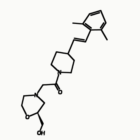 Cc1cccc(C)c1C=CC1CCN(C(=O)CN2CCO[C@H](CO)C2)CC1